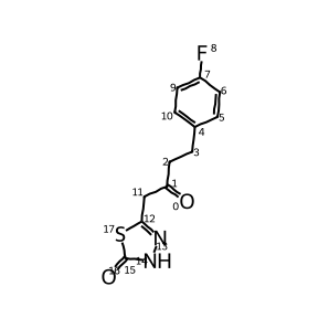 O=C(CCc1ccc(F)cc1)Cc1n[nH]c(=O)s1